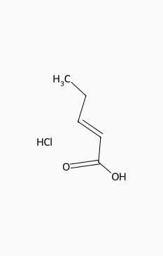 CCC=CC(=O)O.Cl